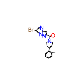 Cc1ccccc1C1=CCN(C(=O)c2cc3ncc(Br)cn3n2)CC1